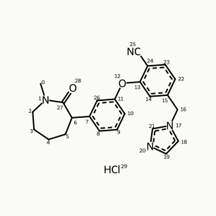 CN1CCCCC(c2cccc(Oc3cc(Cn4ccnc4)ccc3C#N)c2)C1=O.Cl